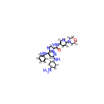 N[C@H]1CC[C@H](NC2=NN3C(=NCC3C(=O)Nc3ccc(N4CCOCC4)nc3)C(Nc3ccccc3)=C2)CC1